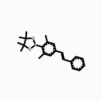 Cc1cc(/C=C/c2ccccc2)cc(C)c1B1OC(C)(C)C(C)(C)O1